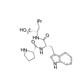 CC(C)C[C@H](NC(=O)[C@H](Cc1c[nH]c2ccccc12)NC(=O)[C@@H]1CCCN1)C(=O)O